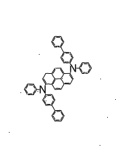 C1=CC2=C3C(=CC=C4C(N(c5ccccc5)c5ccc(-c6ccccc6)cc5)=CC=C1C43)CC=C2N(c1ccccc1)c1ccc(-c2ccccc2)cc1